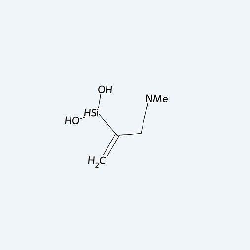 C=C(CNC)[SiH](O)O